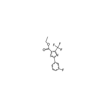 CCOC(=O)c1sc(-c2cccc(F)c2)nc1C(F)(F)F